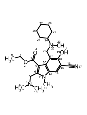 CCOC(=O)c1c(CN(C)C)n(C)c2cc(C#N)c(O)c(CN(C)C3CCCCC3)c12